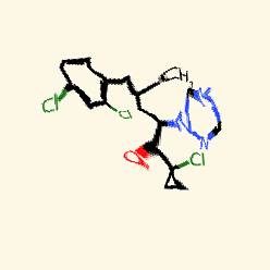 CC(Cc1ccc(Cl)cc1Cl)CC(C(=O)C1(Cl)CC1)n1cncn1